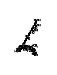 CCN1/C(=C/C=C/C2=[N+](CCCCCC(=O)NCCCC[C@@H](CC(=O)C[C@@H](CCC(=O)O)C(=O)O)C(=O)O)c3ccc(S(=O)(=O)O)cc3C2(C)C)C(C)(C)c2cc(S(=O)(=O)O)ccc21